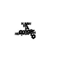 CC(=O)NC(Cc1ccccc1)C(=O)N[C@@H](CCCNC(=N)N)C(=O)NC(Cc1ccc(O)cc1)C(N)=O